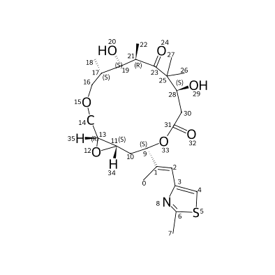 CC(=Cc1csc(C)n1)[C@@H]1C[C@@H]2O[C@@H]2COC[C@H](C)[C@H](O)[C@@H](C)C(=O)C(C)(C)[C@@H](O)CC(=O)O1